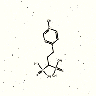 C[n+]1ccc(CCC(P(=O)(O)O)P(=O)(O)O)nc1